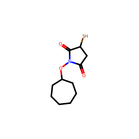 O=C1CC(S)C(=O)N1OC1CCCCCC1